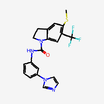 CSc1cc2c(cc1C(F)(F)F)N(C(=O)Nc1cccc(-n3ccnc3)c1)CC2